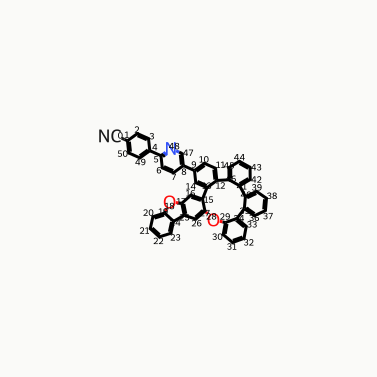 N#Cc1ccc(-c2ccc(-c3ccc4c(c3)-c3cc5oc6ccccc6c5cc3Oc3ccccc3-c3ccccc3-c3ccccc3-4)cn2)cc1